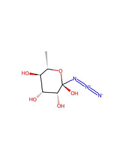 C[C@@H]1O[C@](O)(N=[N+]=[N-])[C@H](O)[C@H](O)[C@H]1O